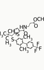 COC(=O)CCNC(=O)c1ccc([C@H](Sc2cc(C)c(-c3ccc(C(F)(F)F)cc3)c(C)c2)C(C)(C)C)s1